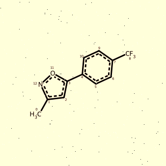 Cc1cc(-c2ccc(C(F)(F)F)cc2)on1